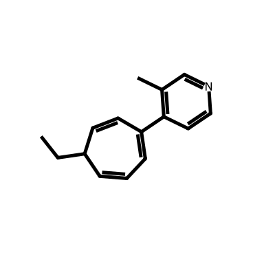 CCC1C=CC=C(c2ccncc2C)C=C1